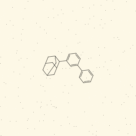 c1ccc(-c2cccc(C3C4CC5CC(C4)CC3C5)c2)cc1